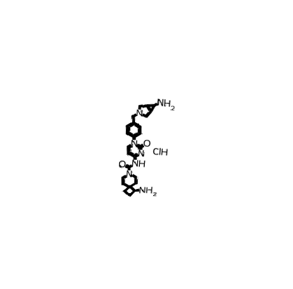 Cl.NC1C2CN(Cc3ccc(-n4ccc(NC(=O)N5CCC6(CCC6N)CC5)nc4=O)cc3)CC12